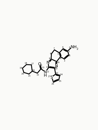 Nc1ccc2c(c1)CCc1nc(NC(=O)CC3CCCCC3)c(-c3cccs3)nc1-2